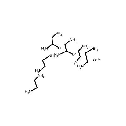 NCC(N)[O-].NCC(N)[O-].NCCN.NCCN.NCCN.NCCN.[Co+2]